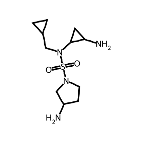 NC1CCN(S(=O)(=O)N(CC2CC2)C2CC2N)C1